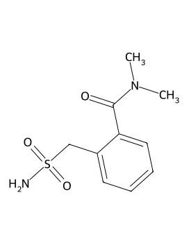 CN(C)C(=O)c1ccccc1CS(N)(=O)=O